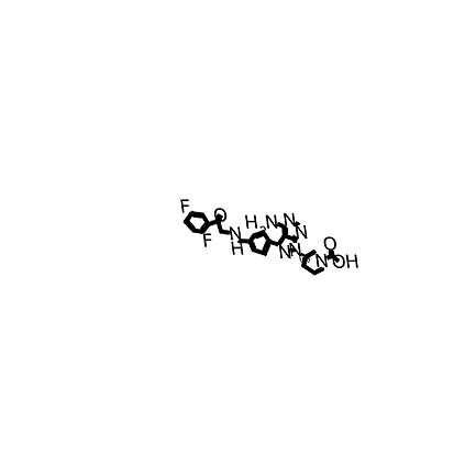 Nc1ncnc2c1c(-c1ccc(CNCC(=O)c3cc(F)ccc3F)cc1)nn2[C@@H]1CCCN(C(=O)O)C1